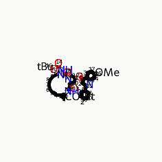 CCOC(=O)C12CC1C=CCCCCCN(NC(=O)OC(C)(C)C)C(=O)N1CC(Oc3cc(-c4ccccc4)nc4cc(OC)ccc34)CC1C(=O)N2